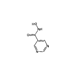 O=C(NO)c1cncnc1